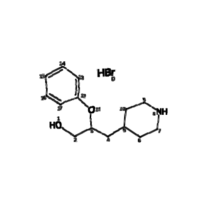 Br.OCC(CC1CCNCC1)Oc1ccccc1